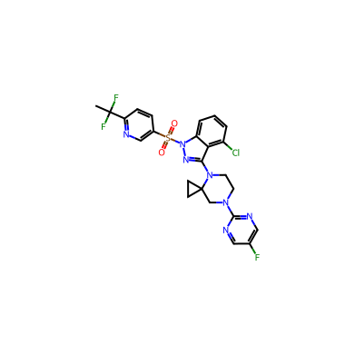 CC(F)(F)c1ccc(S(=O)(=O)n2nc(N3CCN(c4ncc(F)cn4)CC34CC4)c3c(Cl)cccc32)cn1